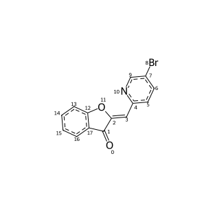 O=C1/C(=C/c2ccc(Br)cn2)Oc2ccccc21